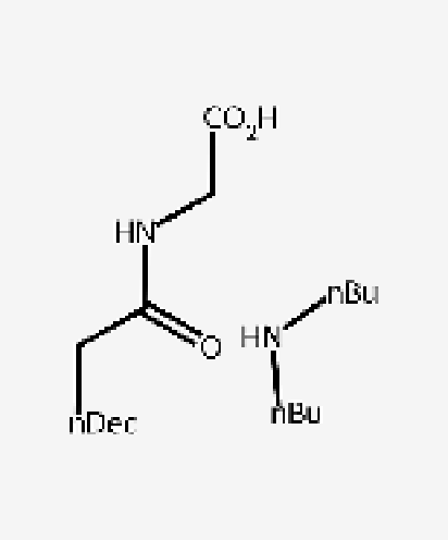 CCCCCCCCCCCC(=O)NCC(=O)O.CCCCNCCCC